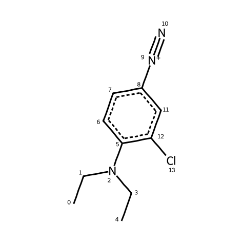 CCN(CC)c1ccc([N+]#N)cc1Cl